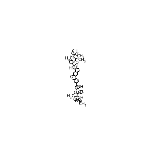 COC(=O)N[C@H](C(=O)N1CCC[C@H]1c1ncc(-c2ccc3c(c2)COc2cc4c(ccc5nc(C6CC[C@H](C)N6C(=O)[C@@H](NC(=O)OC)C(C)C)[nH]c54)cc2-3)[nH]1)C(C)C